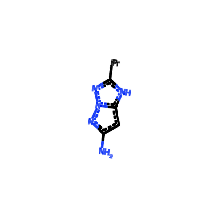 CC(C)c1nn2nc(N)cc2[nH]1